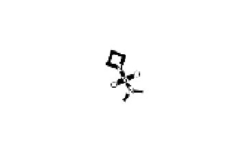 CN(C)S(=O)(=O)N1C[CH]C1